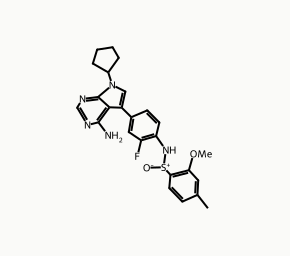 COc1cc(C)ccc1[S+]([O-])Nc1ccc(-c2cn(C3CCCC3)c3ncnc(N)c23)cc1F